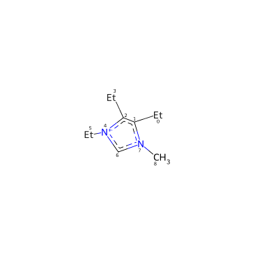 CCc1c(CC)[n+](CC)cn1C